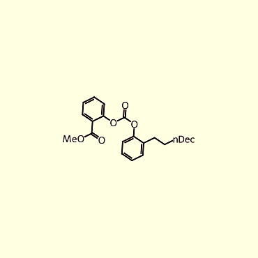 CCCCCCCCCCCCc1ccccc1OC(=O)Oc1ccccc1C(=O)OC